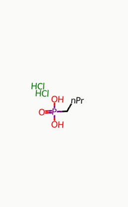 CCCCP(=O)(O)O.Cl.Cl